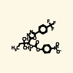 CCC(C)(C)[C@H](OC(=O)Oc1ccc([N+](=O)[O-])cc1)c1nnc(-c2ccc(C(F)(F)F)cc2)o1